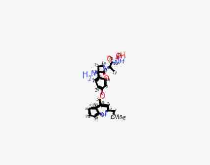 COCc1cc(COc2ccc(C3(N)CCN(C(C)C(=O)NO)C3=O)cc2)c2ccccc2n1